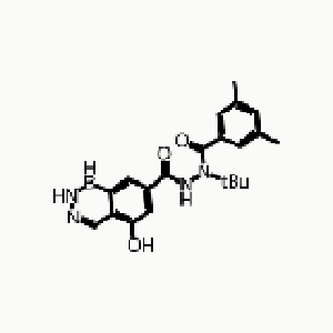 Cc1cc(C)cc(C(=O)N(NC(=O)c2cc(O)c3c(c2)BNN=C3)C(C)(C)C)c1